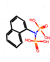 O=P(O)(O)N(c1cccc2ccccc12)P(=O)(O)O